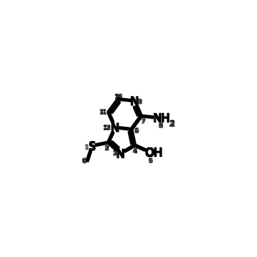 CSc1nc(O)c2c(N)nccn12